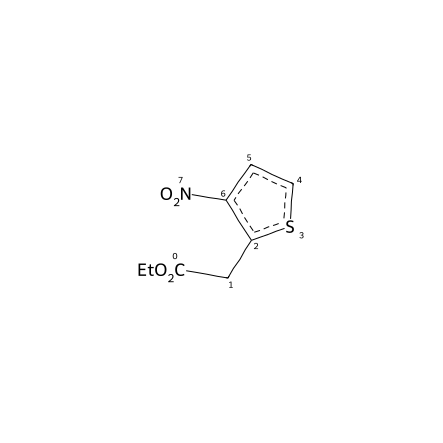 CCOC(=O)Cc1sccc1[N+](=O)[O-]